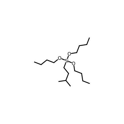 CCCCO[Si](CCC(C)C)(OCCCC)OCCCC